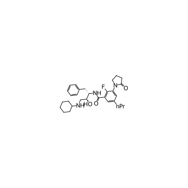 CCCc1cc(C(=O)N[C@@H](Cc2ccccc2)[C@@H](O)CNC2CCCCC2)c(F)c(N2CCCC2=O)c1